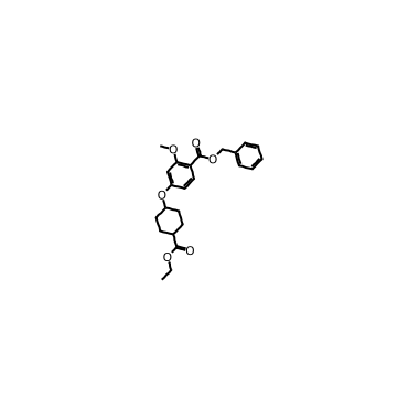 CCOC(=O)C1CCC(Oc2ccc(C(=O)OCc3ccccc3)c(OC)c2)CC1